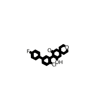 O=C1CC2(CCOCC2)CC(O)=C1c1cc(-c2ccc(F)cc2)ccc1Cl